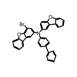 Brc1cc(N(c2ccc(-c3ccccc3)cc2)c2ccc3oc4ccccc4c3c2)cc2c1oc1ccccc12